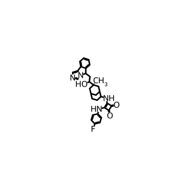 C[C@@]1(C(O)CC2c3ccccc3-c3cncn32)CC2CCC(Nc3c(Nc4ccc(F)cc4)c(=O)c3=O)C(C2)C1